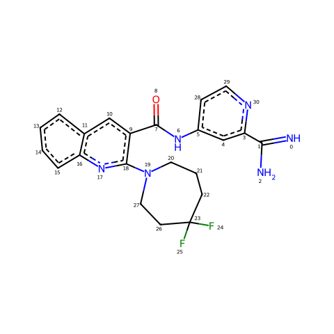 N=C(N)c1cc(NC(=O)c2cc3ccccc3nc2N2CCCC(F)(F)CC2)ccn1